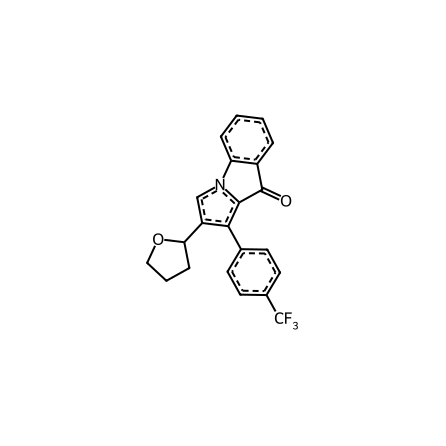 O=C1c2ccccc2-n2cc(C3CCCO3)c(-c3ccc(C(F)(F)F)cc3)c21